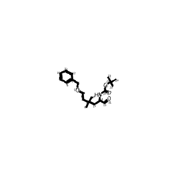 CC(C)(CCOCc1ccccc1)CC(C=O)NC(=O)OC(C)(C)C